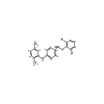 Fc1cccc(F)c1CNc1ccc(Oc2cc(C(F)(F)F)ccc2C(F)(F)F)cn1